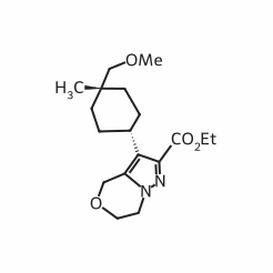 CCOC(=O)c1nn2c(c1[C@H]1CC[C@@](C)(COC)CC1)COCC2